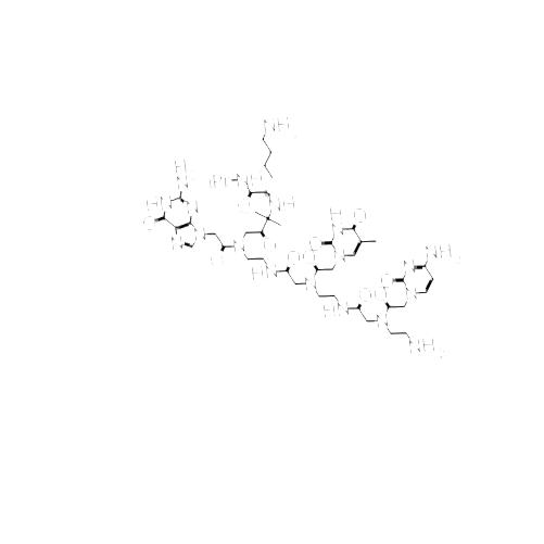 Cc1cn(CC(=O)N(CCNC(=O)CN(CCN)C(=O)Cn2ccc(N)nc2=O)CC(=O)NCCN(CC(=O)C(C)(C)N[C@@H](CCCCN)C(=O)NC(C)C)C(=O)Cn2cnc3c(=O)[nH]c(N)nc32)c(=O)[nH]c1=O